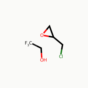 ClCC1CO1.OCC(F)(F)F